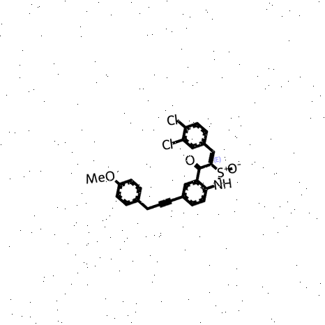 COc1ccc(CC#Cc2ccc3c(c2)C(=O)/C(=C\c2ccc(Cl)c(Cl)c2)[S+]([O-])N3)cc1